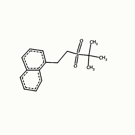 CC(C)(C)S(=O)(=O)CCc1cccc2ccccc12